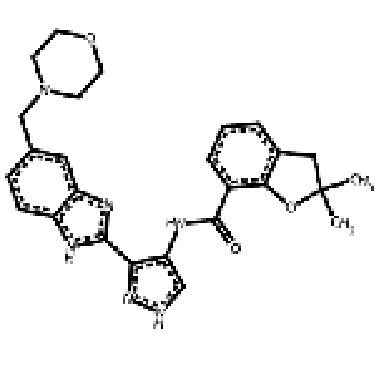 CC1(C)Cc2cccc(C(=O)Nc3c[nH]nc3-c3nc4cc(CN5CCOCC5)ccc4[nH]3)c2O1